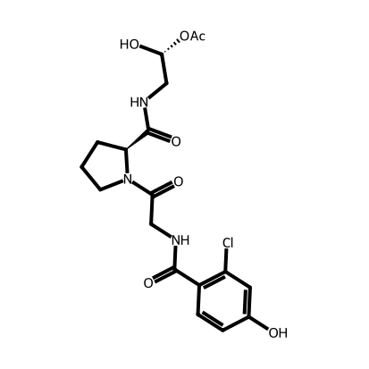 CC(=O)O[C@@H](O)CNC(=O)[C@@H]1CCCN1C(=O)CNC(=O)c1ccc(O)cc1Cl